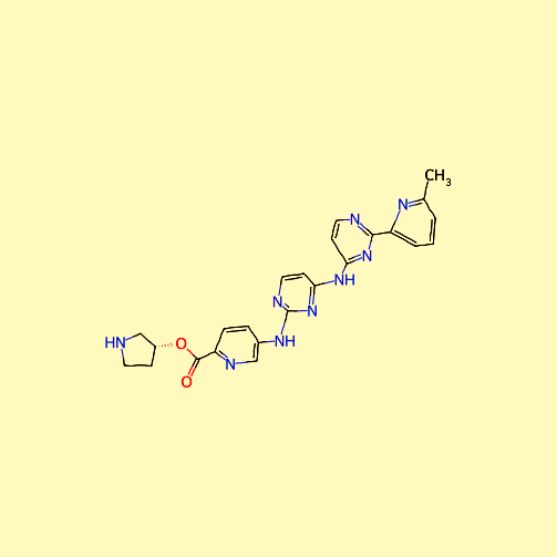 Cc1cccc(-c2nccc(Nc3ccnc(Nc4ccc(C(=O)O[C@@H]5CCNC5)nc4)n3)n2)n1